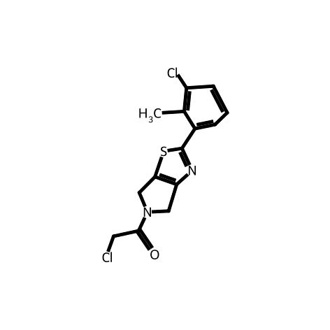 Cc1c(Cl)cccc1-c1nc2c(s1)CN(C(=O)CCl)C2